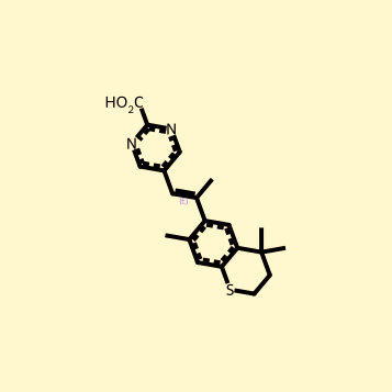 C/C(=C\c1cnc(C(=O)O)nc1)c1cc2c(cc1C)SCCC2(C)C